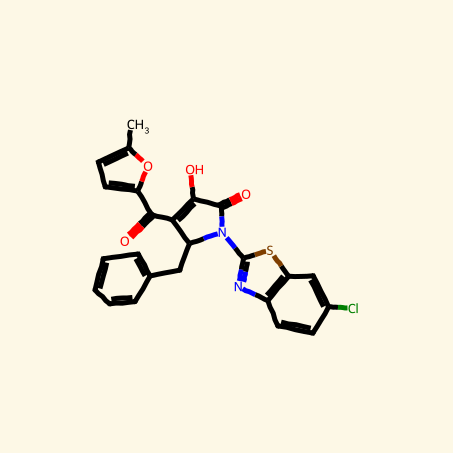 Cc1ccc(C(=O)C2=C(O)C(=O)N(c3nc4ccc(Cl)cc4s3)C2Cc2ccccc2)o1